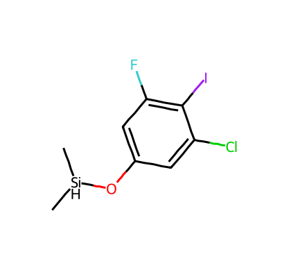 C[SiH](C)Oc1cc(F)c(I)c(Cl)c1